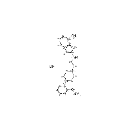 Br.COc1ccccc1N1CCN(CCNc2nc3c(C)cccc3s2)CC1